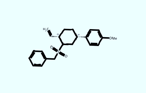 C=C[C@@H]1CC[C@H](c2ccc(OC)cc2)CC1S(=O)(=O)Cc1ccccc1